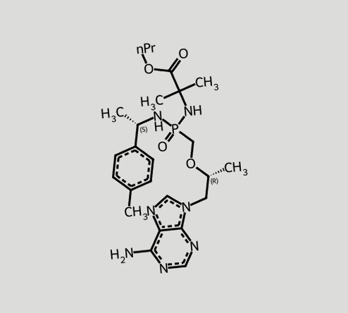 CCCOC(=O)C(C)(C)NP(=O)(CO[C@H](C)Cn1cnc2c(N)ncnc21)N[C@@H](C)c1ccc(C)cc1